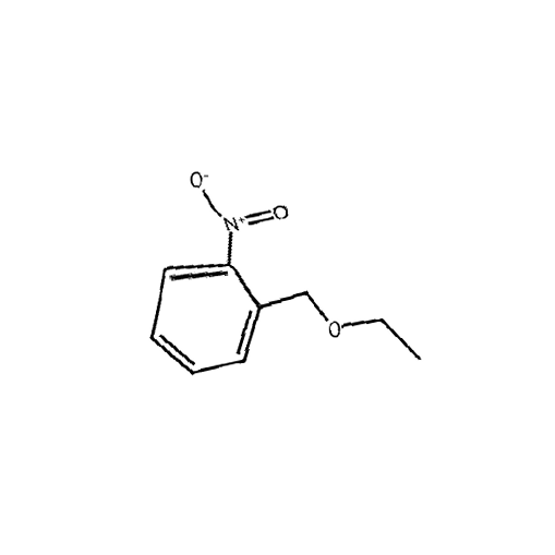 CCOCc1ccccc1[N+](=O)[O-]